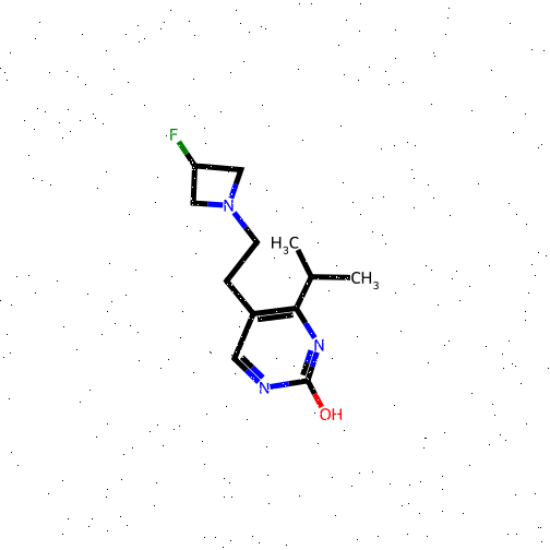 CC(C)c1nc(O)ncc1CCN1CC(F)C1